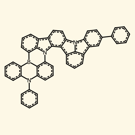 c1ccc(-c2ccc3c(c2)c2cccc4c5c6c(ccc5n3c24)c2cccc3c2n6-c2cccc4c2B3c2ccccc2N4c2ccccc2)cc1